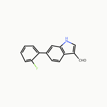 O=Cc1c[nH]c2cc(-c3ccccc3F)ccc12